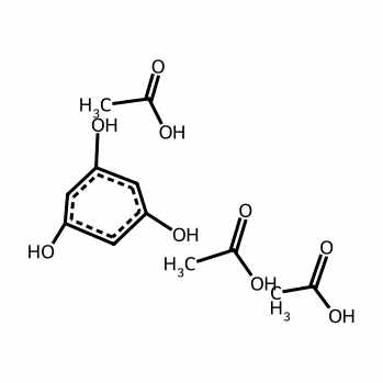 CC(=O)O.CC(=O)O.CC(=O)O.Oc1cc(O)cc(O)c1